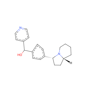 OC(c1ccncc1)c1ccc([C@H]2CC[C@H]3CCCCN32)cc1